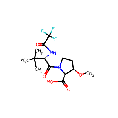 CO[C@@H]1CCN(C(=O)[C@@H](NC(=O)C(F)(F)F)C(C)(C)C)[C@@H]1C(=O)O